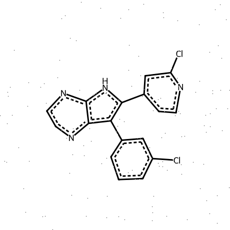 Clc1cccc(-c2c(-c3ccnc(Cl)c3)[nH]c3nccnc23)c1